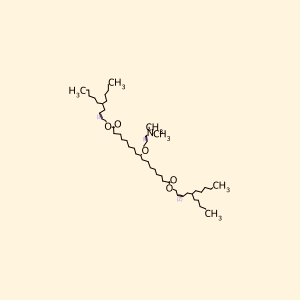 CCCCCC(C/C=C\COC(=O)CCCCCCCC(CCCCCCCC(=O)OC/C=C\CC(CCCCC)CCCCC)OC/C=C/N(C)C)CCCCC